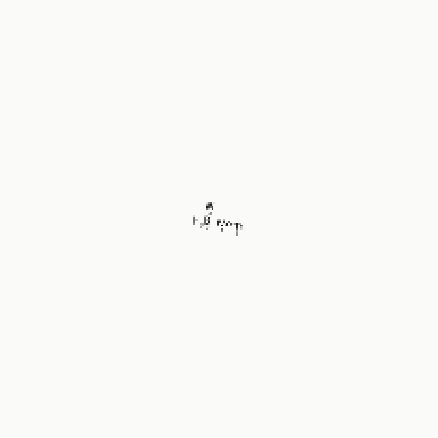 B.[Mo].[Th].[W]